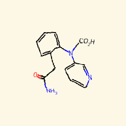 NC(=O)Cc1ccccc1N(C(=O)O)c1cccnc1